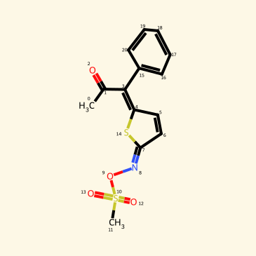 CC(=O)C(=C1C=CC(=NOS(C)(=O)=O)S1)c1ccccc1